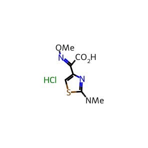 CNc1nc(C(=NOC)C(=O)O)cs1.Cl